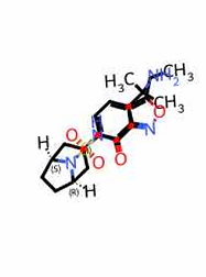 CCc1cc(C(=O)N[C@H]2C[C@H]3CC[C@@H](C2)N3S(=O)(=O)c2ccc(C(C)(C)N)cc2)no1